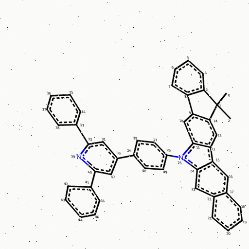 CC1(C)c2ccccc2-c2cc3c(cc21)c1cc2ccccc2cc1n3-c1ccc(-c2cc(-c3ccccc3)nc(-c3ccccc3)c2)cc1